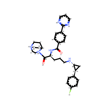 O=C(N[C@@H](CCCN[C@@H]1C[C@H]1c1ccc(F)cc1)C(=O)N1CCN2CCC1CC2)c1ccc(-c2ncccn2)cc1